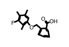 Cc1cc(OCc2ccccc2C(=O)O)c(C)c(F)c1C